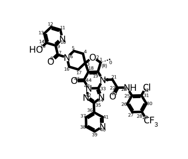 C[C@H]1OC2(CCN(C(=O)c3ncccc3O)CC2)c2c1n(CC(=O)Nc1ccc(C(F)(F)F)cc1Cl)c1nc(-c3cccnc3)nn1c2=O